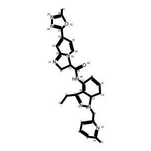 CCC1=NN(Cc2cccc(C)n2)C2CC=CC(NC(=O)C3CN=C4C=C(c5nnc(C)o5)C=CN43)=C12